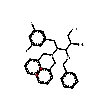 NC(CO)C(OCc1ccccc1)C(Cc1cc(F)cc(F)c1)N(Cc1ccccc1)Cc1ccccc1